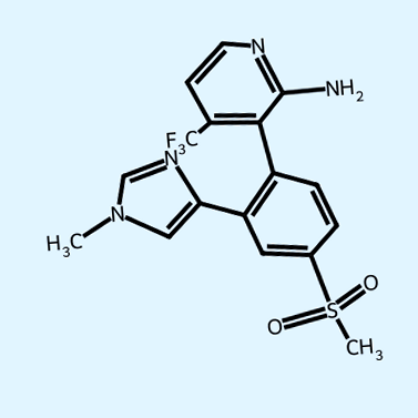 Cn1cnc(-c2cc(S(C)(=O)=O)ccc2-c2c(C(F)(F)F)ccnc2N)c1